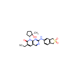 C[C@@]1(O)CCC[C@H]1n1c(=O)c(CC#N)cc2cnc(Nc3ccc4c(c3)CS(=O)(=O)C4)nc21